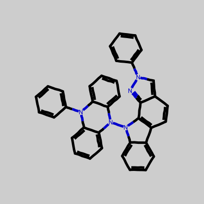 c1ccc(N2c3ccccc3N(n3c4ccccc4c4ccc5cn(-c6ccccc6)nc5c43)c3ccccc32)cc1